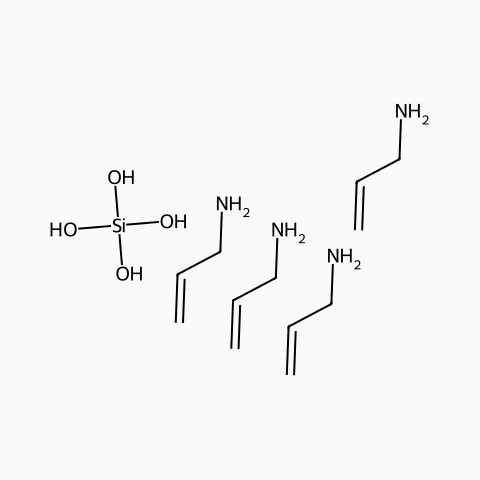 C=CCN.C=CCN.C=CCN.C=CCN.O[Si](O)(O)O